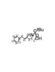 CC(C)(C)OC(=O)N[C@H](CO)CC=CCc1ccccc1